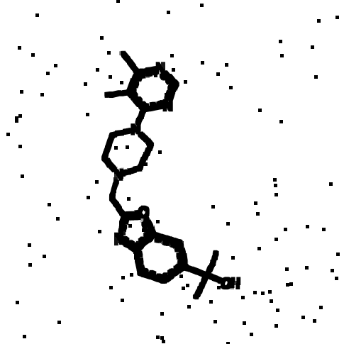 Cc1ncnc(N2CCN(Cc3nc4ccc(C(C)(C)O)cc4o3)CC2)c1C